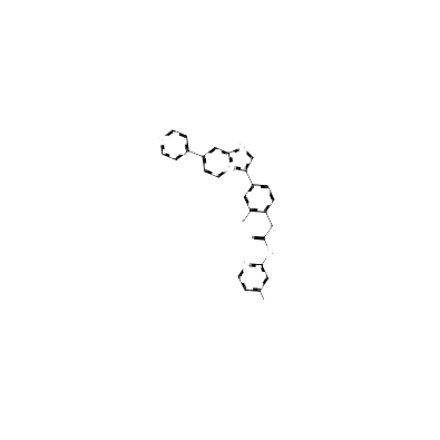 CC(C)(C)c1ccnc(NC(=O)Cc2ccc(-c3cnc4cc(-c5ccncc5)ccn34)cc2Cl)c1